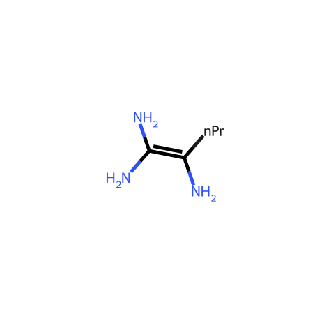 CCCC(N)=C(N)N